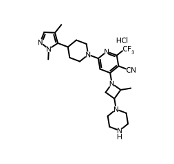 Cc1cnn(C)c1C1CCN(c2cc(N3CC(N4CCNCC4)C3C)c(C#N)c(C(F)(F)F)n2)CC1.Cl